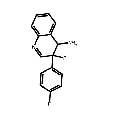 NC1c2ccccc2N=CC1(F)c1ccc(F)cc1